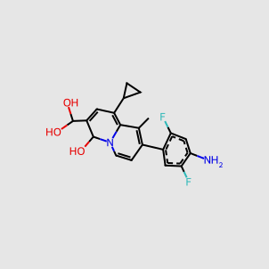 CC1=C(c2cc(F)c(N)cc2F)C=CN2C1=C(C1CC1)C=C(C(O)O)C2O